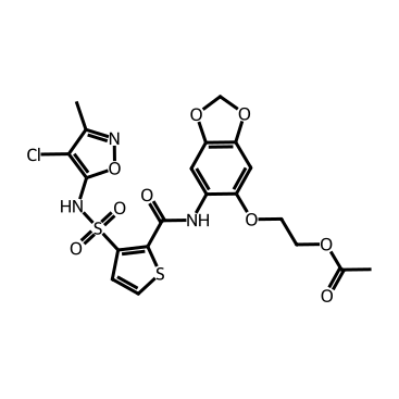 CC(=O)OCCOc1cc2c(cc1NC(=O)c1sccc1S(=O)(=O)Nc1onc(C)c1Cl)OCO2